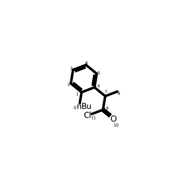 CCCCc1ccccc1C(C)C(=O)Cl